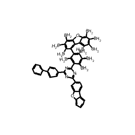 Bc1c(B)c(-c2nc(-c3ccc(-c4ccccc4)cc3)nc(-c3ccc4c(c3)oc3ccccc34)n2)c(B)c(-c2c(B)c(B)c(B)c3oc4c(B)c(B)c(B)c(B)c4c23)c1B